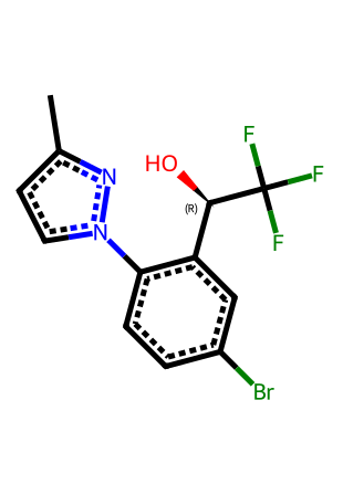 Cc1ccn(-c2ccc(Br)cc2[C@@H](O)C(F)(F)F)n1